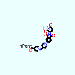 CCCCCC(=O)C1CCN(CC2CCN(c3ccc4c(c3)C(=O)N(C3CCC(=O)NC3=O)C4=O)CC2)CC1